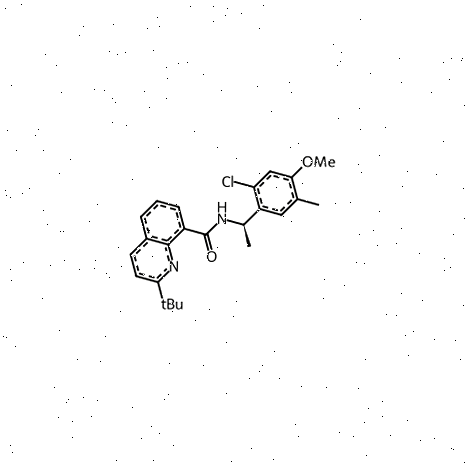 COc1cc(Cl)c([C@@H](C)NC(=O)c2cccc3ccc(C(C)(C)C)nc23)cc1C